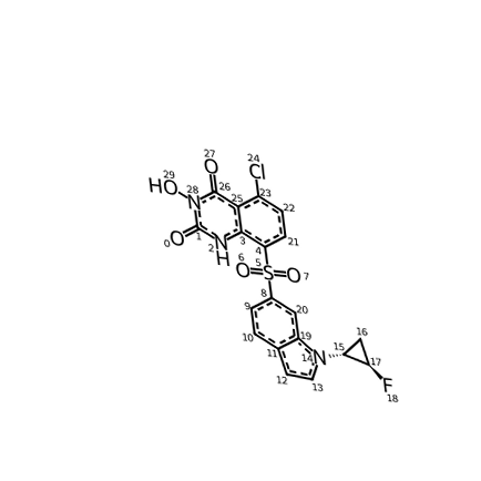 O=c1[nH]c2c(S(=O)(=O)c3ccc4ccn([C@@H]5C[C@H]5F)c4c3)ccc(Cl)c2c(=O)n1O